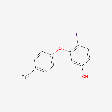 Cc1ccc(Oc2cc(O)ccc2I)cc1